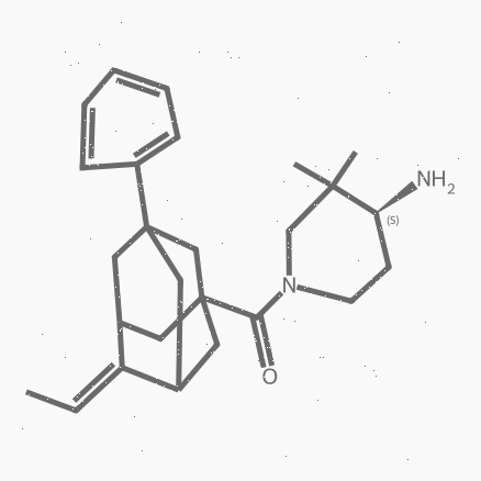 CC=C1C2CC3(C(=O)N4CC[C@H](N)C(C)(C)C4)CC1CC(c1ccccc1)(C2)C3